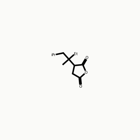 CCC(C)(CC(C)C)C1CC(=O)OC1=O